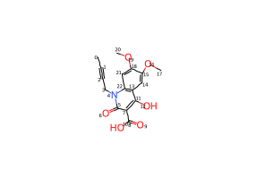 CC#CCn1c(=O)c(C(=O)O)c(O)c2cc(OC)c(OC)cc21